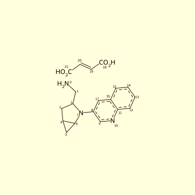 NCC1CC2CC2N1c1cnc2ccccc2c1.O=C(O)C=CC(=O)O